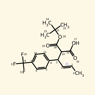 C/C=C/C(c1ccc(C(F)(F)F)cc1)C(C(=O)O)C(=O)OC(C)(C)C